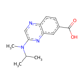 CC(C)N(C)c1cnc2ccc(C(=O)O)cc2n1